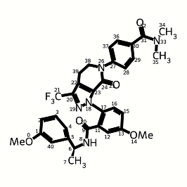 COc1cccc([C@H](C)NC(=O)c2cc(OC)ccc2-n2nc(C(F)(F)F)c3c2C(=O)N(c2ccc(C(=O)N(C)C)cc2)CC3)c1